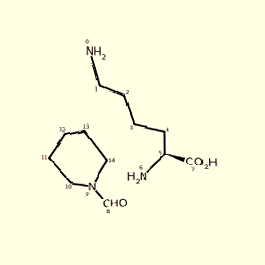 NCCCC[C@H](N)C(=O)O.O=CN1CCCCC1